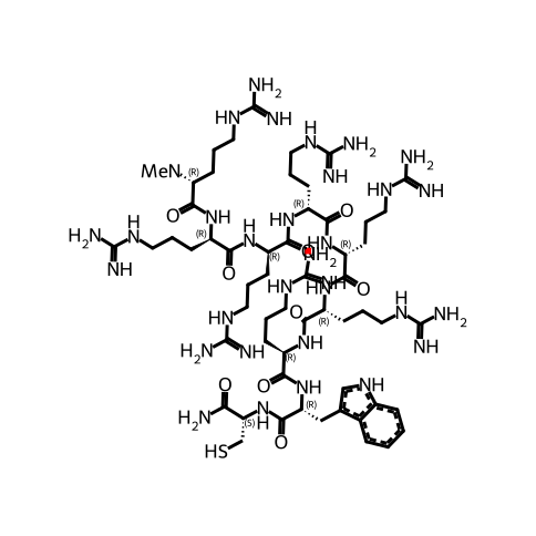 CN[C@H](CCCNC(=N)N)C(=O)N[C@H](CCCNC(=N)N)C(=O)N[C@H](CCCNC(=N)N)C(=O)N[C@H](CCCNC(=N)N)C(=O)N[C@H](CCCNC(=N)N)C(=O)N[C@H](CCCNC(=N)N)C(=O)N[C@H](CCCNC(=N)N)C(=O)N[C@H](Cc1c[nH]c2ccccc12)C(=O)N[C@H](CS)C(N)=O